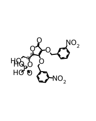 O=C1O[C@H]([C@H](CO)OP(=O)(O)O)C(OCc2cccc([N+](=O)[O-])c2)=C1OCc1cccc([N+](=O)[O-])c1